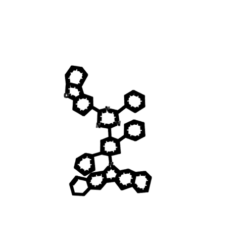 C1=Cc2cc3c(cc2CC1)c1cc2ccccc2cc1n3-c1cc(-c2ccccc2)c(-c2nc(-c3ccccc3)nc(-c3ccc4oc5ccccc5c4c3)n2)cc1-c1ccccc1